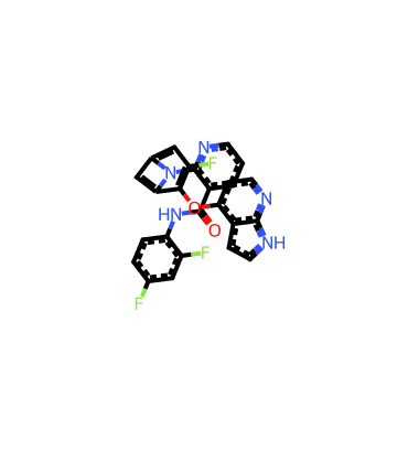 O=C(Nc1ccc(F)cc1F)c1cccnc1N1C2=CC(F)=C(Oc3ccnc4[nH]ccc34)C1=C2